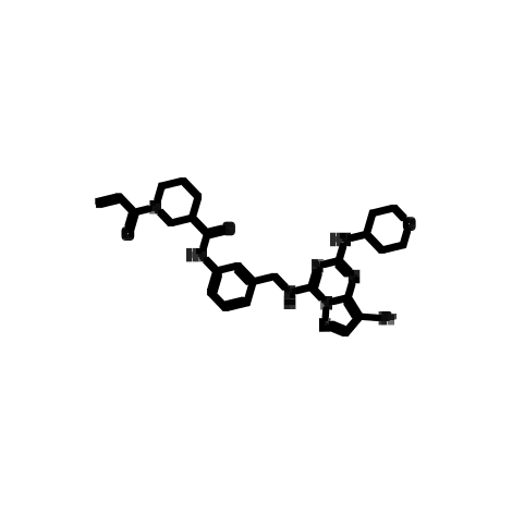 C=CC(=O)N1CCCC(C(=O)Nc2cccc(CNc3nc(NC4CCOCC4)nc4c(C(C)C)cnn34)c2)C1